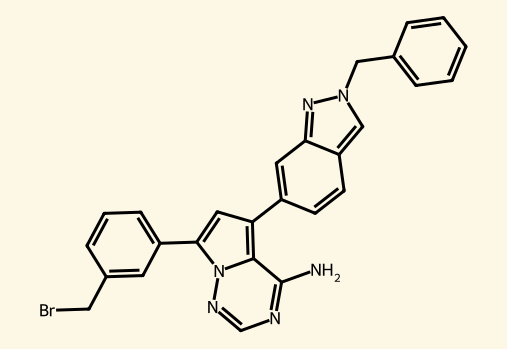 Nc1ncnn2c(-c3cccc(CBr)c3)cc(-c3ccc4cn(Cc5ccccc5)nc4c3)c12